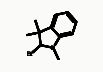 CCC1N(C)c2ccccc2C1(C)C